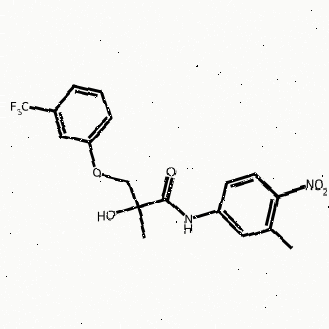 Cc1cc(NC(=O)C(C)(O)COc2cccc(C(F)(F)F)c2)ccc1[N+](=O)[O-]